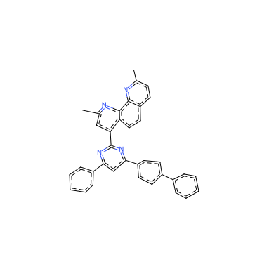 Cc1ccc2ccc3c(-c4nc(-c5ccccc5)cc(-c5ccc(-c6ccccc6)cc5)n4)cc(C)nc3c2n1